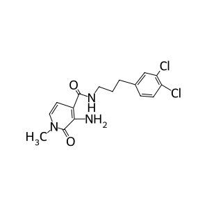 Cn1ccc(C(=O)NCCCc2ccc(Cl)c(Cl)c2)c(N)c1=O